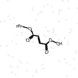 CCCOC(=O)/C=C/C(=O)OO